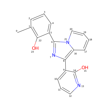 Cc1cccc(-c2nc(-c3cccnc3O)c3ccccn23)c1O